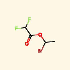 CC(Br)OC(=O)C(F)F